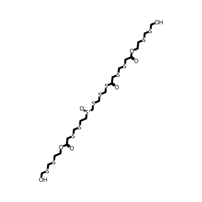 O=C(CSCSCC[S+]([O-])CSCSCSC(=O)CSCSCC(=O)OCCSCSCO)OCCSCSCO